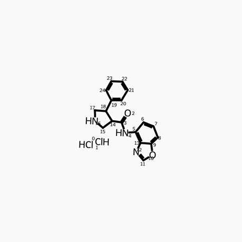 Cl.Cl.O=C(Nc1cccc2ocnc12)C1CNCC1c1ccccc1